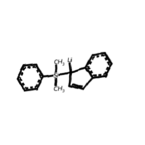 [Li][C]1([Si](C)(C)c2ccccc2)C=Cc2ccccc21